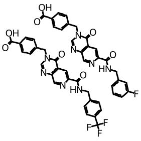 O=C(O)c1ccc(Cn2cnc3cnc(C(=O)NCc4ccc(C(F)(F)F)cc4)cc3c2=O)cc1.O=C(O)c1ccc(Cn2cnc3cnc(C(=O)NCc4cccc(F)c4)cc3c2=O)cc1